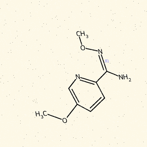 CO/N=C(/N)c1ccc(OC)cn1